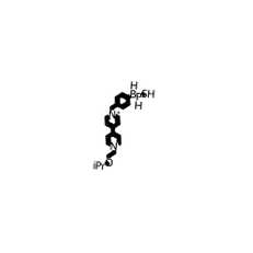 CC(C)OCC[n+]1ccc(-c2cc[n+](Cc3ccc(BPS)cc3)cc2)cc1